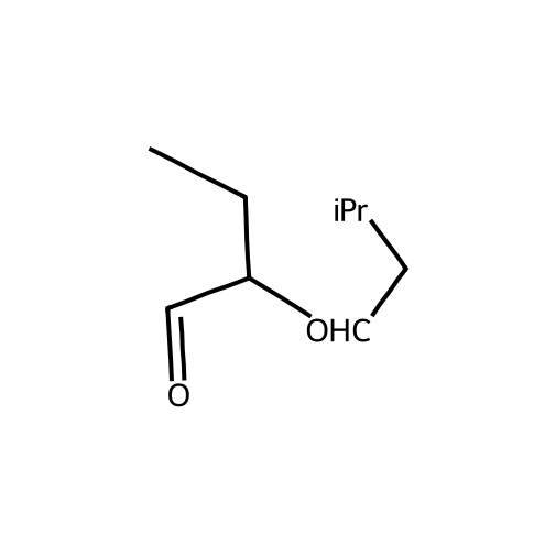 CC(C)CC=O.CCC(C)C=O